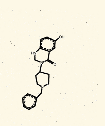 O=C1c2cc(O)ccc2NCN1C1CCN(Cc2ccccc2)CC1